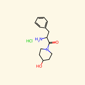 Cl.NC(Cc1ccccc1)C(=O)N1CCC(O)CC1